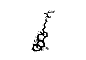 CC[C@H]1CC2C3CCC(CCCCOC(=O)N(C)OC)C3(C)CC[C@@H]2C2(C)CCCCC12